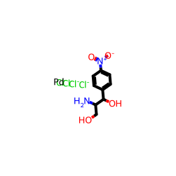 NC(CO)C(O)c1ccc([N+](=O)[O-])cc1.[Cl-].[Cl-].[Cl-].[Cl-].[Pd]